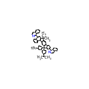 C=C(C)c1ccc(C2(c3ccc(C(C)(C)C)cc3)c3cc(-c4nccc5ccccc45)ccc3-c3cc4c(cc32)-c2c(cc(-c3nccc5ccccc35)c3ccccc23)C4(C)C)cc1